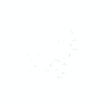 O=C1c2cc3nc(-c4c(N[C@@H](O)Cc5c(F)c(F)cc(F)c5F)cc[nH]c4=O)[nH]c3cc2C(O)N1c1cccnc1